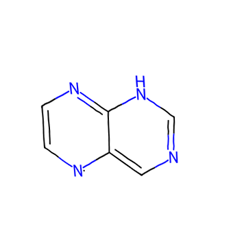 C1=CN=C2NC=NC=C2[N]1